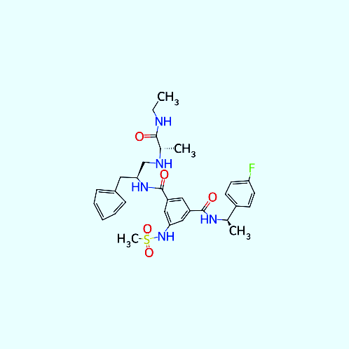 CCNC(=O)[C@H](C)NC[C@H](Cc1ccccc1)NC(=O)c1cc(NS(C)(=O)=O)cc(C(=O)N[C@H](C)c2ccc(F)cc2)c1